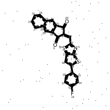 O=C1C(=Cc2nc3sc(-c4ccc(F)cc4)cc3s2)C(=O)c2cc3ccccc3cc21